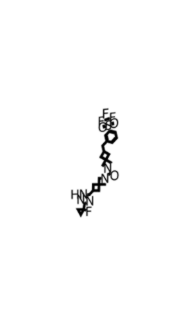 O=C(N1CC2(CC(Cc3cccc(S(=O)(=O)C(F)(F)F)c3)C2)C1)N1CC2(CC(c3nc(C4(F)CC4)n[nH]3)C2)C1